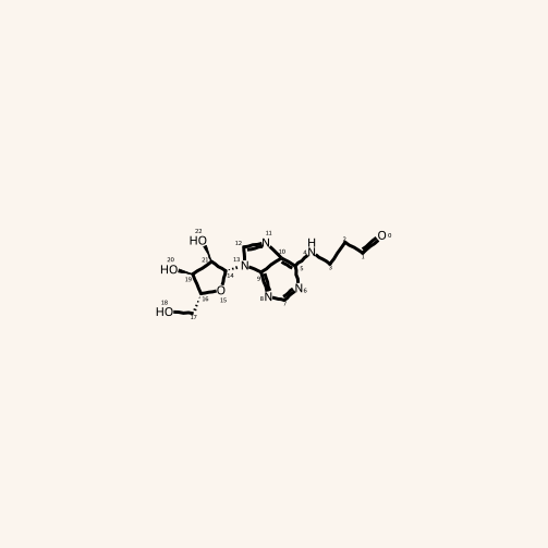 O=CCCNc1ncnc2c1ncn2[C@@H]1O[C@H](CO)[C@@H](O)[C@H]1O